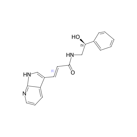 O=C(/C=C/c1c[nH]c2ncccc12)NC[C@@H](O)c1ccccc1